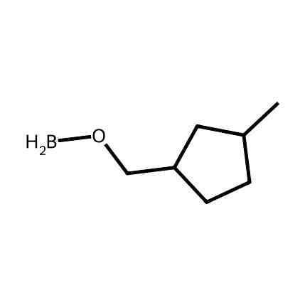 BOCC1CCC(C)C1